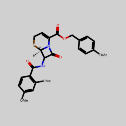 COc1ccc(COC(=O)C2=CCS[C@@H]3C(NC(=O)c4ccc(OC)cc4OC)C(=O)N23)cc1